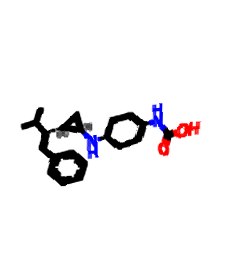 CC(C)C(=Cc1ccccc1)[C@@H]1C[C@H]1N[C@H]1CC[C@H](NC(=O)O)CC1